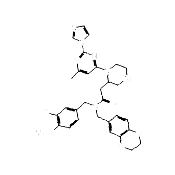 COc1ccc(CN(Cc2ccc3c(c2)OCCO3)C(=O)CC2CNCCN2c2cc(C)nc(-n3ccnc3)n2)cc1F